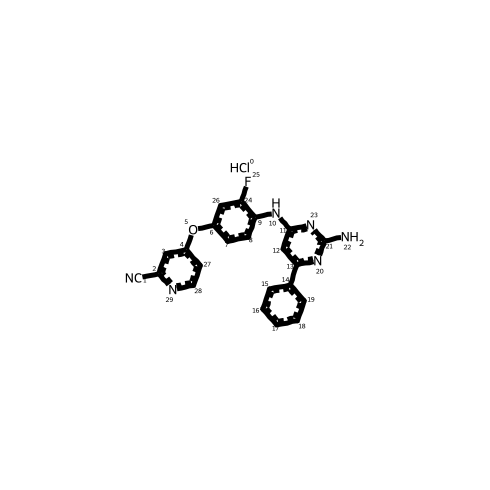 Cl.N#Cc1cc(Oc2ccc(Nc3cc(-c4ccccc4)nc(N)n3)c(F)c2)ccn1